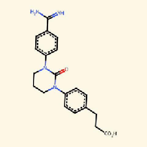 N=C(N)c1ccc(N2CCCN(c3ccc(CCC(=O)O)cc3)C2=O)cc1